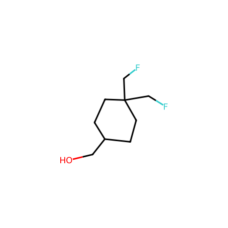 OCC1CCC(CF)(CF)CC1